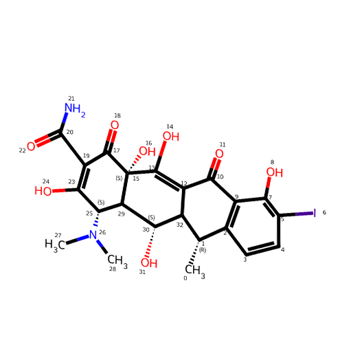 C[C@H]1c2ccc(I)c(O)c2C(=O)C2=C(O)[C@]3(O)C(=O)C(C(N)=O)=C(O)[C@@H](N(C)C)C3[C@@H](O)C21